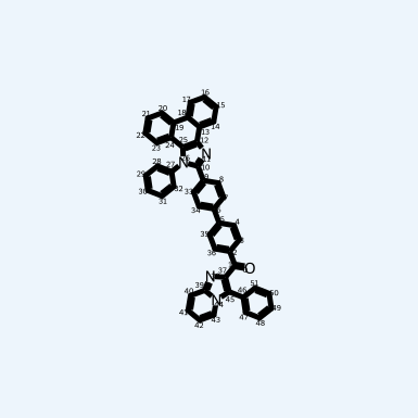 O=C(c1ccc(-c2ccc(-c3nc4c5ccccc5c5ccccc5c4n3-c3ccccc3)cc2)cc1)c1nc2ccccn2c1-c1ccccc1